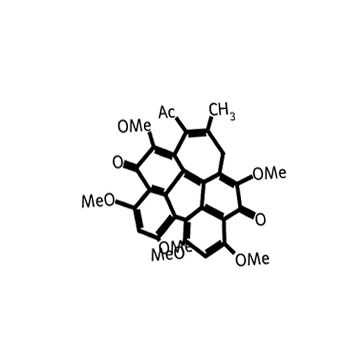 COc1c2c3c4c(c(OC)c(=O)c5c(OC)cc(OC)c(c6c(OC)cc(OC)c(c1=O)c63)c54)C(C(C)=O)=C(C)C2